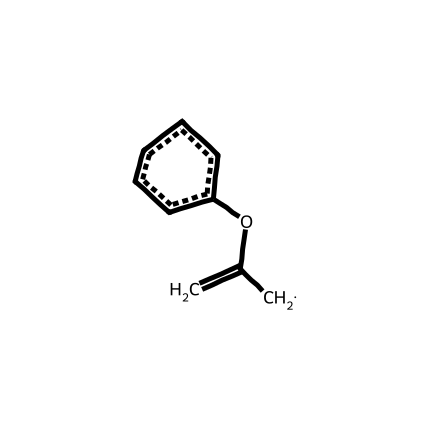 [CH2]C(=C)Oc1ccccc1